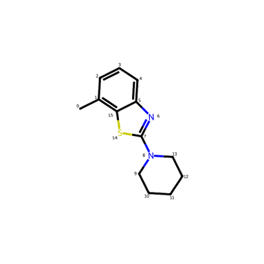 Cc1cccc2nc(N3CCCCC3)sc12